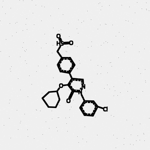 O=c1c(OC2CCCCC2)c(-c2ccc(C[SH](=O)=O)cc2)cnn1-c1cccc(Cl)c1